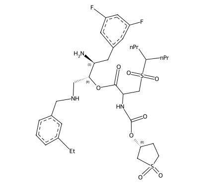 CCCC(CCC)S(=O)(=O)CC(NC(=O)O[C@@H]1CCS(=O)(=O)C1)C(=O)O[C@H](CNCc1cccc(CC)c1)[C@@H](N)Cc1cc(F)cc(F)c1